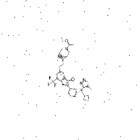 CC(=O)N1CC2CC(CCc3cc(C(F)(F)F)c4cn(-c5cccc([C@H](c6nncn6C)C6CCC6)c5)c(=O)n4c3)C(C1)N2